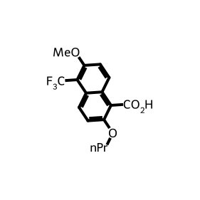 CCCOc1ccc2c(C(F)(F)F)c(OC)ccc2c1C(=O)O